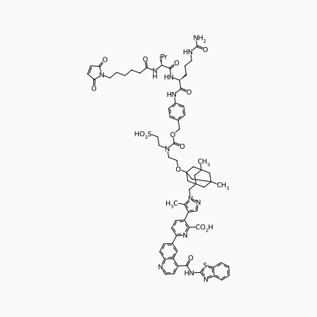 Cc1c(-c2ccc(-c3ccc4nccc(C(=O)Nc5nc6ccccc6s5)c4c3)nc2C(=O)O)cnn1CC12CC3(C)CC(C)(C1)CC(OCCN(CCS(=O)(=O)O)C(=O)OCc1ccc(NC(=O)[C@H](CCCNC(N)=O)NC(=O)[C@@H](NC(=O)CCCCCN4C(=O)C=CC4=O)C(C)C)cc1)(C3)C2